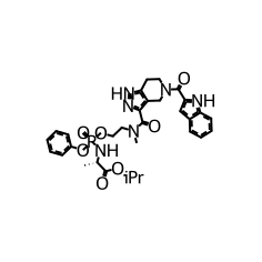 CC(C)OC(=O)[C@H](C)NP(=O)(OCCN(C)C(=O)c1n[nH]c2c1CN(C(=O)c1cc3ccccc3[nH]1)CC2)Oc1ccccc1